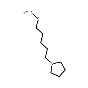 O=S(=O)(O)SCCCCCN1CCCC1